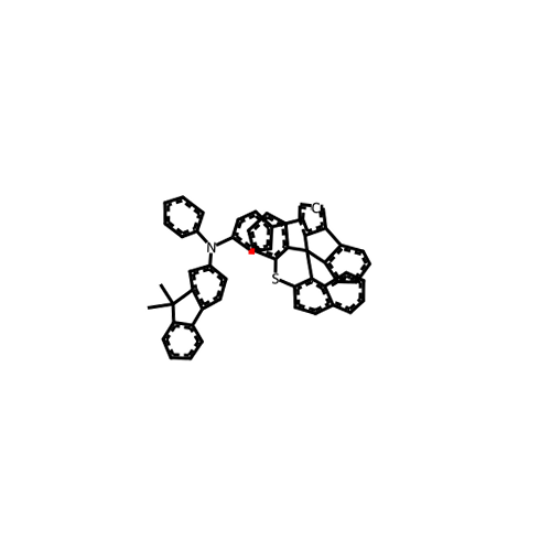 CC1(C)c2ccccc2-c2ccc(N(c3ccccc3)c3ccc(-c4cccc5c4C4(c6ccccc6Sc6ccc7ccccc7c64)c4ccccc4-5)cc3)cc21